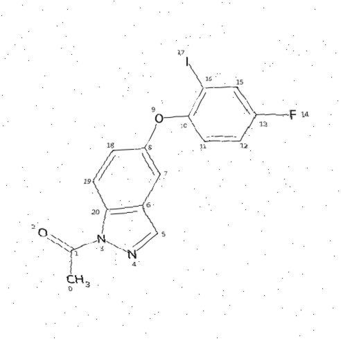 CC(=O)n1ncc2cc(Oc3ccc(F)cc3I)ccc21